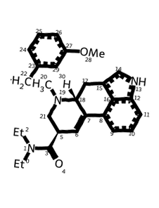 CCN(CC)C(=O)[C@@H]1C=C2c3cccc4[nH]cc(c34)C[C@H]2N(C)C1.[CH2]c1cccc(OC)c1